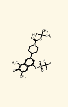 Cc1cc2c(OS(=O)(=O)C(F)(F)F)cc(C3CCN(C(=O)OC(C)(C)C)CC3)cc2n(C)c1=O